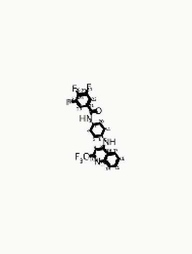 O=C(N[C@H]1CC[C@@H](Nc2cc(C(F)(F)F)nc3ccccc23)CC1)c1cc(F)c(F)c(F)c1